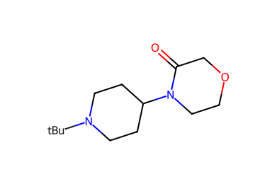 CC(C)(C)N1CCC(N2CCOCC2=O)CC1